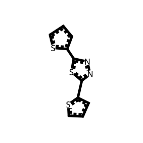 c1csc(-c2nnc(-c3cccs3)s2)c1